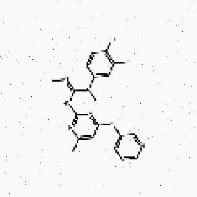 C/N=C(\Nc1nc(C)cc(Oc2cccnc2)n1)N(C)c1ccc(Cl)c(Cl)c1